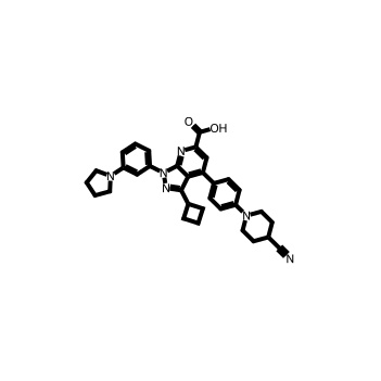 N#CC1CCN(c2ccc(-c3cc(C(=O)O)nc4c3c(C3CCC3)nn4-c3cccc(N4CCCC4)c3)cc2)CC1